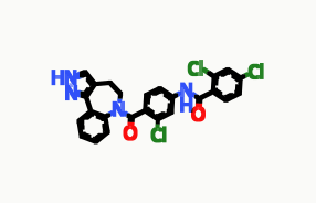 O=C(Nc1ccc(C(=O)N2CCc3c[nH]nc3-c3ccccc32)c(Cl)c1)c1ccc(Cl)cc1Cl